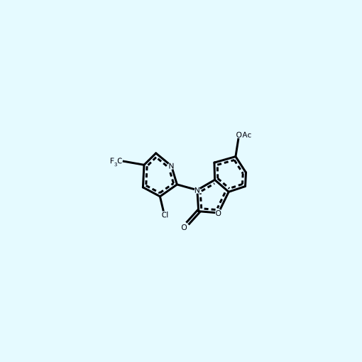 CC(=O)Oc1ccc2oc(=O)n(-c3ncc(C(F)(F)F)cc3Cl)c2c1